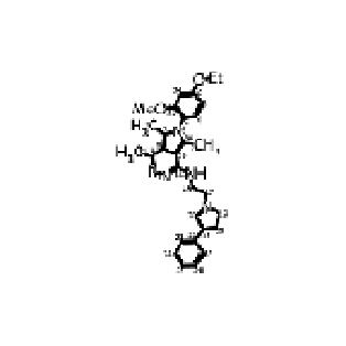 CCOc1ccc(-n2c(C)c3c(C)nnc(NCCN4CCC(c5ccccc5)C4)c3c2C)c(OC)c1